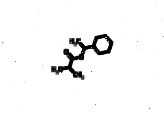 CC(C)C(=O)OC(C)C1CCCCC1